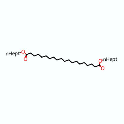 CCCCCCCOC(=O)CCCCCCCCCCCCCCCCCCC(=O)OCCCCCCC